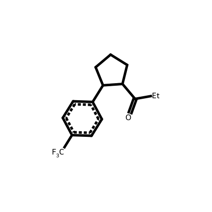 CCC(=O)C1CCCC1c1ccc(C(F)(F)F)cc1